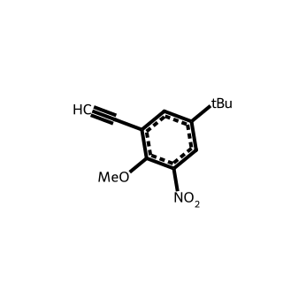 C#Cc1cc(C(C)(C)C)cc([N+](=O)[O-])c1OC